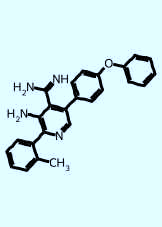 Cc1ccccc1-c1ncc(-c2ccc(Oc3ccccc3)cc2)c(C(=N)N)c1N